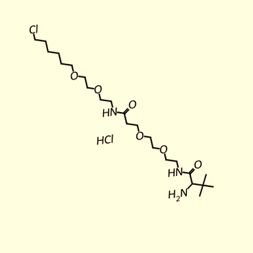 CC(C)(C)C(N)C(=O)NCCOCCOCCC(=O)NCCOCCOCCCCCCCl.Cl